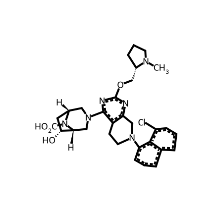 CN1CCC[C@H]1COc1nc2c(c(N3C[C@H]4C[C@@H](O)[C@@H](C3)N4C(=O)O)n1)CCN(c1cccc3cccc(Cl)c13)C2